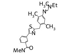 CCN(C)/C=N/c1cc(C)c(Cc2nc(-c3cccc(C(=O)NC)c3)cs2)cc1C